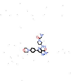 CN(C)CC(=O)N1CCC(Nc2nc(-c3ccc(N4CCOCC4)cc3)cc3ncn(C)c(=O)c23)C1